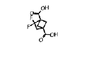 O=C(O)C12CC(F)(F)C(C(=O)O)(C1)C2